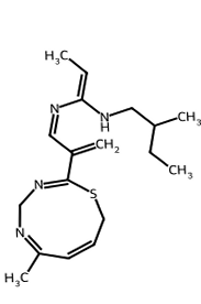 C=C(/C=N\C(=C/C)NCC(C)CC)/C1=N/C/N=C(C)\C=C/CS1